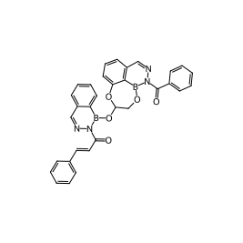 O=C(/C=C/c1ccccc1)N1N=Cc2ccccc2B1OC1COB2c3c(cccc3O1)C=NN2C(=O)c1ccccc1